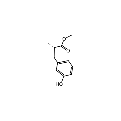 COC(=O)[C@@H](C)Cc1cccc(O)c1